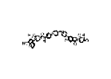 C[C@H]1CN(C(=O)Nc2ccc(N3CCC(CN4CCN(c5cc6c(cc5F)C(=O)N([C@H]5CCC(=O)NC5=O)C6)CC4)CC3)nc2)CCN1c1ccc(C#N)c2ncccc12